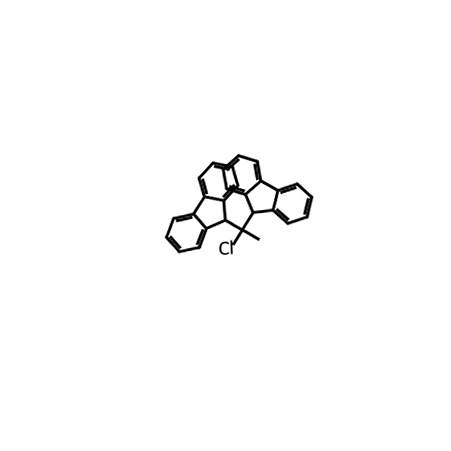 CC(Cl)(C1c2ccccc2-c2ccccc21)C1c2ccccc2-c2ccccc21